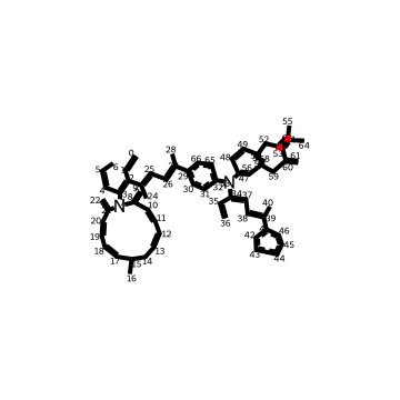 C=CC(=C(\C=C/C)N1C(=C)/C=C\C=C/CC(C)/C=C\C=C/C1=C)/C(C)=C/C=C(\C)c1ccc(N(/C(C=C)=C/C=C(\C)c2ccccc2)C(/C=C\C(=C)C/C=C\C)=C/C(=C)CC(=C)/C=C\C)cc1